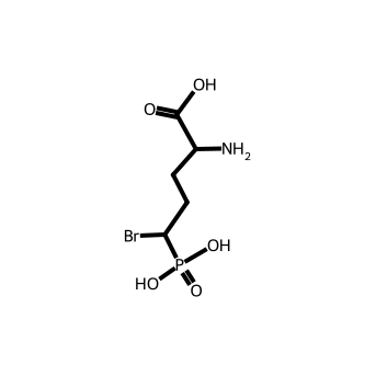 NC(CCC(Br)P(=O)(O)O)C(=O)O